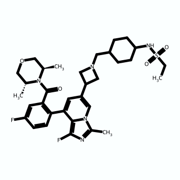 CCS(=O)(=O)NC1CCC(CN2CC(c3cc(-c4ccc(F)cc4C(=O)N4[C@H](C)COC[C@H]4C)c4c(F)nc(C)n4c3)C2)CC1